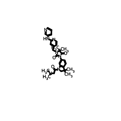 CN(C)CC(=O)N1CC(C)(C)c2ccc(N3C(=O)N(Cc4ccnc(Nc5cccnc5)c4)C(C)(C)C3=O)cc21